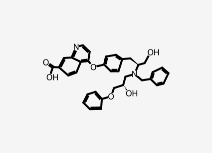 O=C(O)c1ccc2c(Oc3ccc(C[C@@H](CO)N(Cc4ccccc4)C[C@H](O)COc4ccccc4)cc3)ccnc2c1